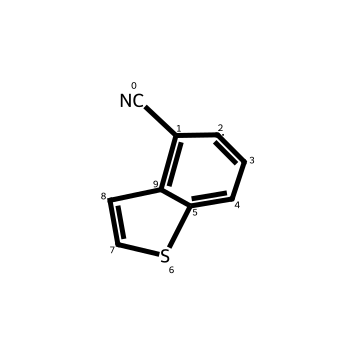 N#Cc1[c]ccc2sccc12